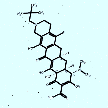 CN(C)[C@@H]1C(O)=C(C(N)=O)C(=O)[C@@]2(O)C(O)=C3C(=O)c4c(O)c5c(c(F)c4C[C@H]3C[C@@H]12)CCN(CC(C)(C)C)C5